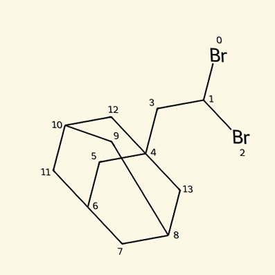 BrC(Br)CC12CC3CC(CC(C3)C1)C2